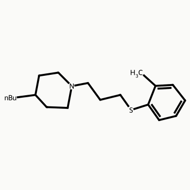 CCCCC1CCN(CCCSc2ccccc2C)CC1